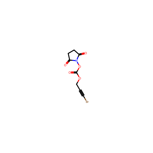 O=C(OCC#CBr)ON1C(=O)CCC1=O